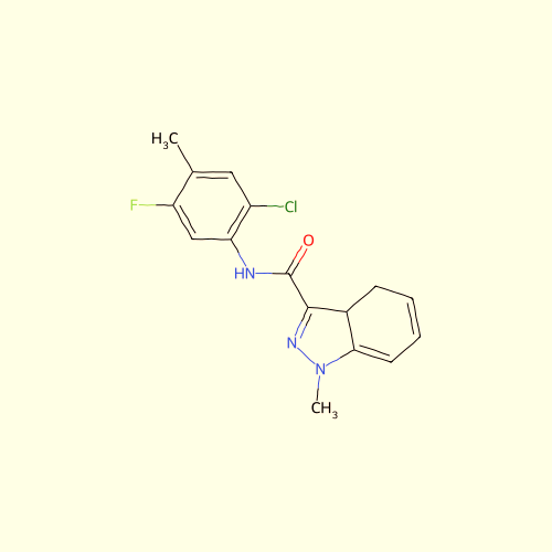 Cc1cc(Cl)c(NC(=O)C2=NN(C)C3=CC=CCC32)cc1F